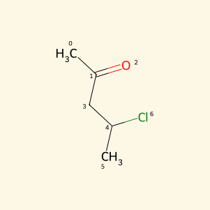 CC(=O)CC(C)Cl